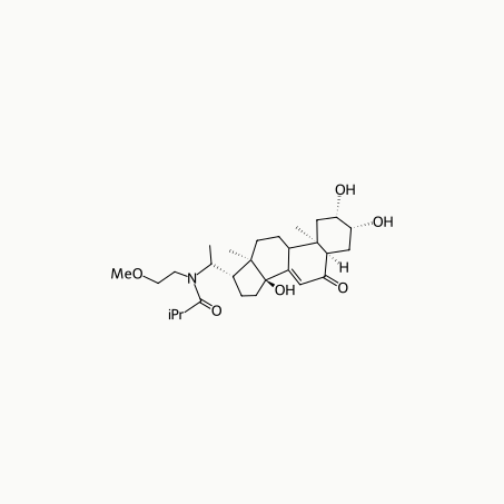 COCCN(C(=O)C(C)C)C(C)[C@H]1CC[C@@]2(O)C3=CC(=O)[C@@H]4C[C@@H](O)[C@@H](O)C[C@]4(C)C3CC[C@]12C